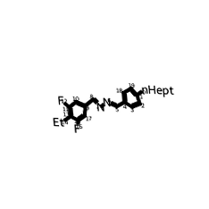 CCCCCCCc1ccc(C=NN=Cc2cc(F)c(CC)c(F)c2)cc1